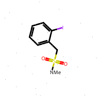 CNS(=O)(=O)Cc1ccccc1I